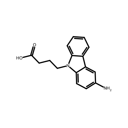 Nc1ccc2c(c1)c1ccccc1n2CCCC(=O)O